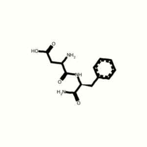 NC(=O)[C@H](Cc1ccccc1)NC(=O)C(N)CC(=O)O